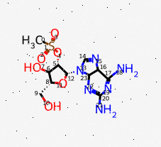 CS(=O)(=O)O[C@H]1C(O)[C@@H](CO)O[C@H]1N1C=NC2C(N)=NC(N)=NC21